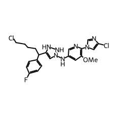 COc1cc(NN2C=C(C(CCCCCl)c3ccc(F)cc3)NN2)cnc1-n1cnc(Cl)c1